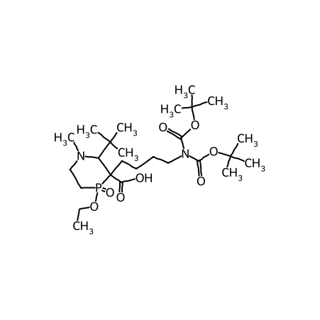 CCOP1(=O)CCN(C)C(C(C)(C)C)C1(CCCCN(C(=O)OC(C)(C)C)C(=O)OC(C)(C)C)C(=O)O